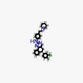 Fc1ccc([C@H]2Cc3cnc(Nc4ccc(CCN5CCCCC5)cc4)nc3-c3ccccc32)cc1F